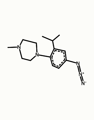 CC(C)c1cc(N=[N+]=[N-])ccc1N1CCN(C)CC1